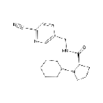 N#Cc1ccc(CNC(=O)[C@H]2CCCN2C2CCCCC2)cn1